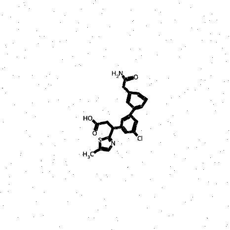 Cc1cnc(C(CC(=O)O)c2cc(Cl)cc(-c3cccc(CC(N)=O)c3)c2)s1